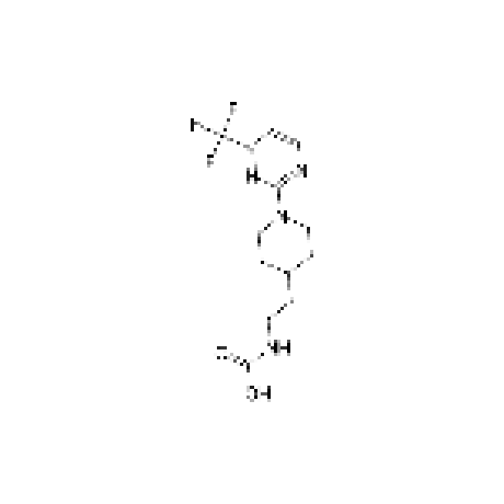 O=C(O)NCCC1CCN(c2nccc(C(F)(F)F)n2)CC1